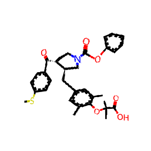 CSc1ccc(C(=O)[C@@H]2CN(C(=O)Oc3ccccc3)C[C@H]2Cc2cc(C)c(OC(C)(C)C(=O)O)c(C)c2)cc1